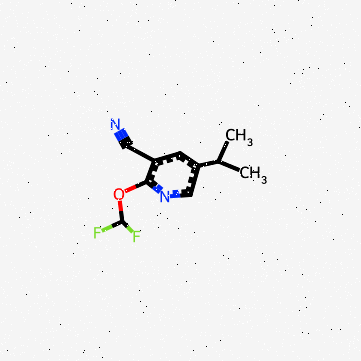 CC(C)c1cnc(OC(F)F)c(C#N)c1